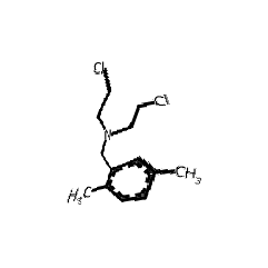 Cc1ccc(C)c(CN(CCCl)CCCl)c1